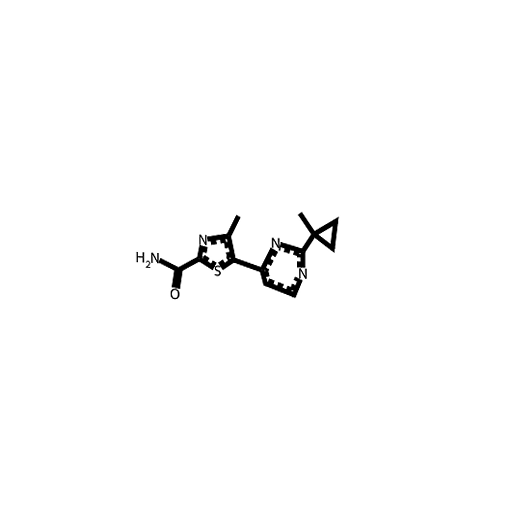 Cc1nc(C(N)=O)sc1-c1ccnc(C2(C)CC2)n1